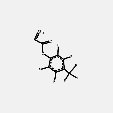 C=CC(=O)Oc1c(F)c(F)c(C(F)(F)F)c(F)c1F